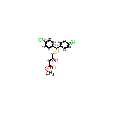 COC(=O)CC(=O)CSC(c1ccc(Cl)cc1)c1ccc(Cl)cc1